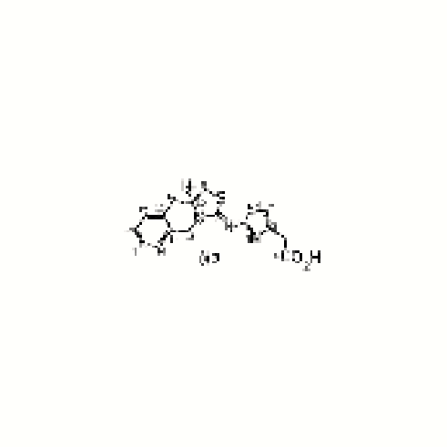 O=C(O)Cc1csc(N=C2SC[C@@H]3Cc4ccccc4CN23)n1.[Na]